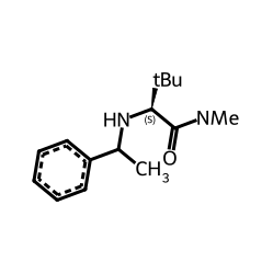 CNC(=O)[C@@H](NC(C)c1ccccc1)C(C)(C)C